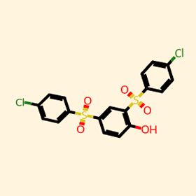 O=S(=O)(c1ccc(Cl)cc1)c1ccc(O)c(S(=O)(=O)c2ccc(Cl)cc2)c1